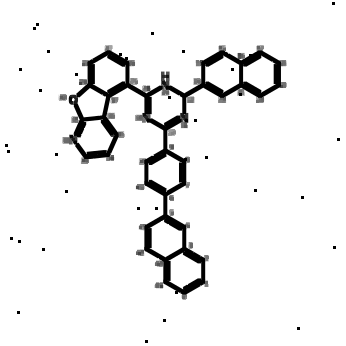 c1ccc2cc(-c3ccc(C4=NC(c5ccc6ccccc6c5)NC(c5cccc6oc7ncccc7c56)=N4)cc3)ccc2c1